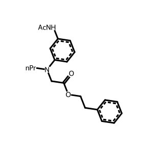 CCCN(CC(=O)OCCc1ccccc1)c1cccc(NC(C)=O)c1